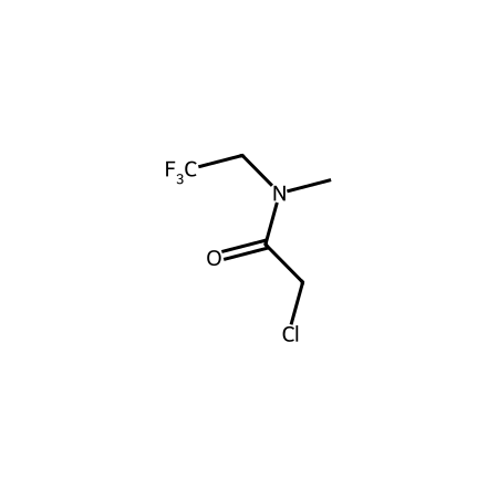 CN(CC(F)(F)F)C(=O)CCl